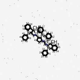 CC1(C)C(/C=C/C2=C(N(c3ccccc3)c3ccccc3)C(=C/C=C3/N(c4ccccc4)c4ccccc4C3(C)C)/CC2)=[N+](c2ccccc2)c2ccccc21